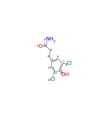 NC(=O)CCc1cc(Cl)c(O)c(Cl)c1